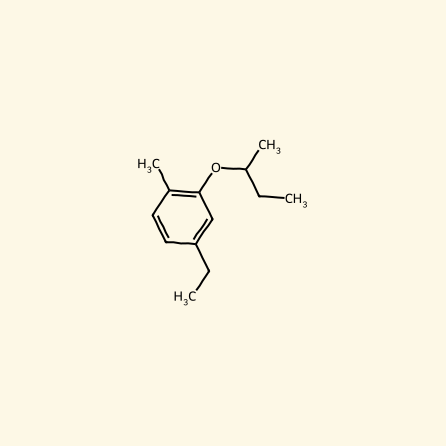 CCc1ccc(C)c(OC(C)CC)c1